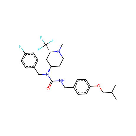 CC(C)COc1ccc(CNC(=O)N(Cc2ccc(F)cc2)[C@@H]2CCN(C)[C@@H](C(F)(F)F)C2)cc1